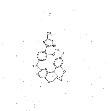 COc1cc(Nc2ncc3c(n2)N(c2ccc(F)cc2OC2CC2)CCO3)ccc1-c1nc(C)c[nH]1